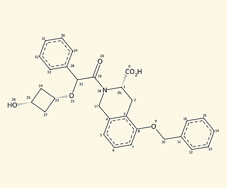 O=C(O)[C@@H]1Cc2c(cccc2OCc2ccccc2)CN1C(=O)C(O[C@H]1C[C@@H](O)C1)c1ccccc1